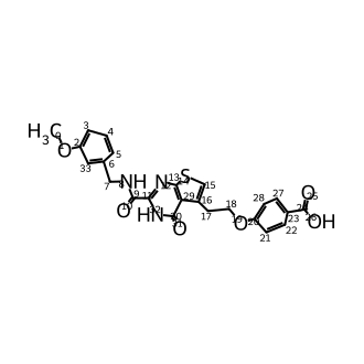 COc1cccc(CNC(=O)c2nc3scc(CCOc4ccc(C(=O)O)cc4)c3c(=O)[nH]2)c1